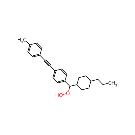 CCCC1CCC(C(OO)c2ccc(C#Cc3ccc(C)cc3)cc2)CC1